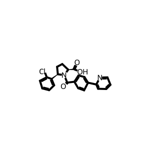 O=C(O)[C@@H]1CC[C@H](c2ccccc2Cl)N1C(=O)c1ccc(-c2ccccn2)cc1